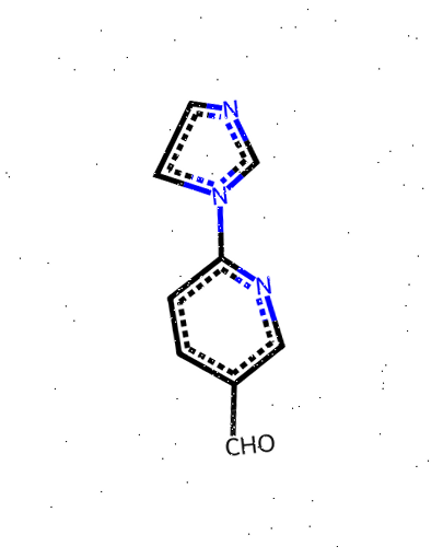 O=Cc1ccc(-n2ccnc2)nc1